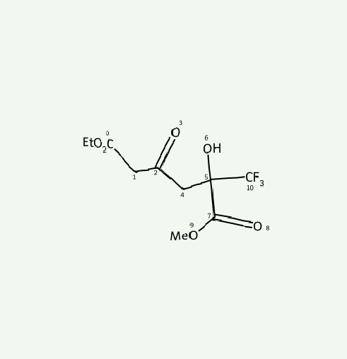 CCOC(=O)CC(=O)CC(O)(C(=O)OC)C(F)(F)F